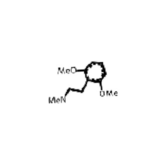 CNCCc1c(OC)cccc1OC